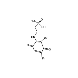 CC(C)C1=CC(=O)C(NCCP(=O)(O)O)=C(C(C)C)C1=O